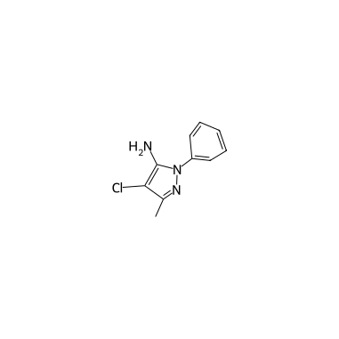 Cc1nn(-c2ccccc2)c(N)c1Cl